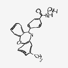 Cc1ccc2c(c1)N=C(c1ccc(C(=O)NO)cc1)c1ccccc1O2